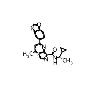 Cc1cc(-c2ccc3ocnc3c2)nc2c(C(=O)N[C@@H](C)C3CC3)ncn12